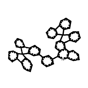 c1cc(-c2ccc3c(c2)C2(c4ccccc4-c4ccccc42)c2ccccc2-3)cc(-c2nc3ccccc3c3c4c(ccc23)C2(c3ccccc3-c3ccccc32)c2ccccc2-4)c1